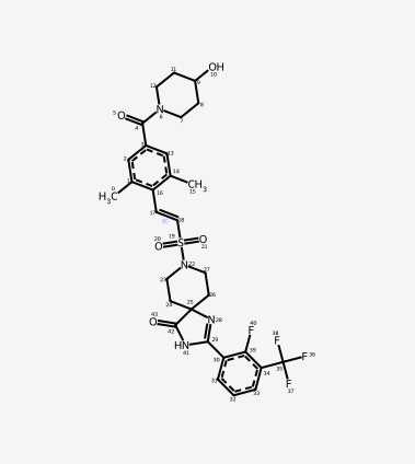 Cc1cc(C(=O)N2CCC(O)CC2)cc(C)c1/C=C/S(=O)(=O)N1CCC2(CC1)N=C(c1cccc(C(F)(F)F)c1F)NC2=O